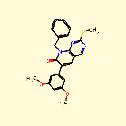 COc1cc(OC)cc(-c2cc3cnc(SC)nc3n(Cc3ccccc3)c2=O)c1